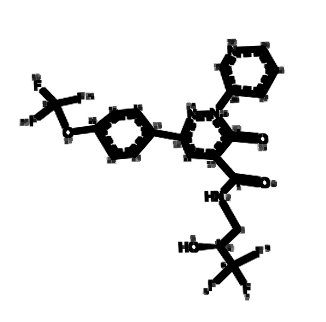 O=C(NC[C@H](O)C(F)(F)F)c1cc(-c2ccc(OC(F)(F)F)cc2)nn(-c2cccnc2)c1=O